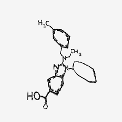 CCN(Cc1cccc(C)c1)c1nc2cc(C(=O)O)ccc2n1C1CCCCCC1